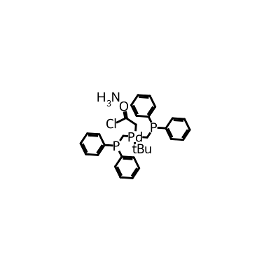 C[C](C)(C)[Pd]([CH2]C(=O)Cl)([CH2]P(c1ccccc1)c1ccccc1)[CH2]P(c1ccccc1)c1ccccc1.N